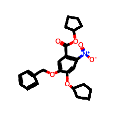 O=C(OC1CCCC1)c1cc(OCc2ccccc2)c(OC2CCCC2)cc1[N+](=O)[O-]